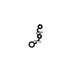 O=C(NCC1CCCCCCC1)c1ccc2[nH]c(Cc3ccccc3)nc2c1